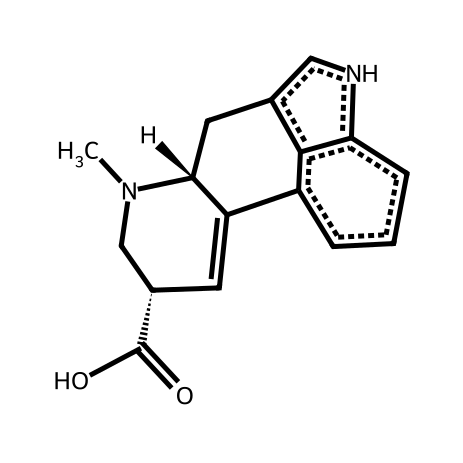 CN1C[C@@H](C(=O)O)C=C2c3cccc4[nH]cc(c34)C[C@H]21